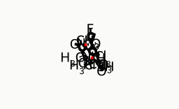 C[C@H](N[S+]([O-])C(C)(C)C)c1cc(=O)n(C)cc1-c1cc(CCN[SH](=O)=O)c(Cl)cc1S(=O)(=O)c1ccc(F)cc1